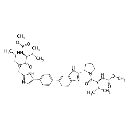 CCCN(Cc1ncc(-c2ccc(-c3ccc4nc([C@@H]5CCCN5C(=O)[C@@H](NC(=O)OC)C(C)C)[nH]c4c3)cc2)[nH]1)C(=O)[C@@H](NC(=O)OC)C(C)C